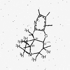 [2H]C1([2H])N2C([2H])([2H])C([2H])(C)[C@]3(C)Oc4c(nc(C)c(C)c4C)C([2H])(C)[C@]3(C1([2H])[2H])[C@@]2([2H])C